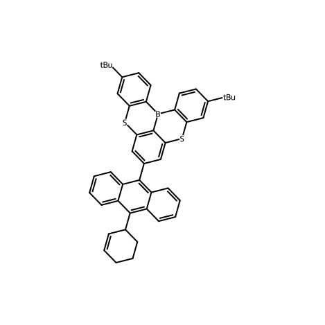 CC(C)(C)c1ccc2c(c1)Sc1cc(-c3c4ccccc4c(C4C=CCCC4)c4ccccc34)cc3c1B2c1ccc(C(C)(C)C)cc1S3